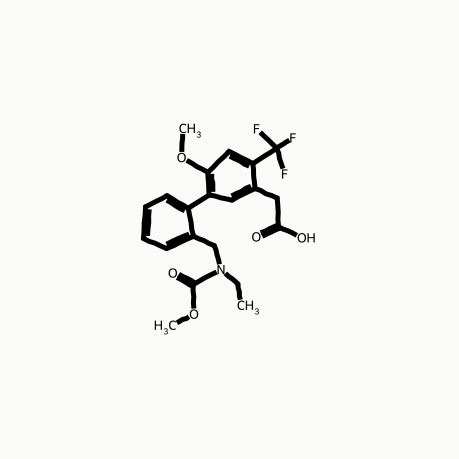 CCN(Cc1ccccc1-c1cc(CC(=O)O)c(C(F)(F)F)cc1OC)C(=O)OC